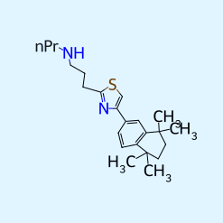 CCCNCCCc1nc(-c2ccc3c(c2)C(C)(C)CCC3(C)C)cs1